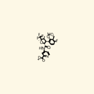 COC(=O)c1cc(NC(=O)[C@@H]2O[C@@](C)(C(F)(F)F)[C@@H](C)[C@H]2c2ccc(F)c(CO)c2OC)ccn1